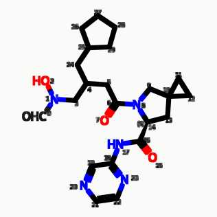 O=CN(O)CC(CC(=O)N1CC2(CC2)C[C@H]1C(=O)Nc1cnccn1)CC1CCCC1